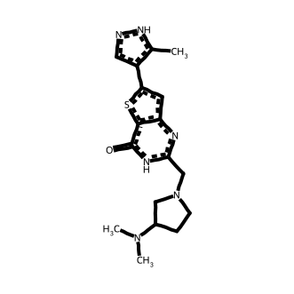 Cc1[nH]ncc1-c1cc2nc(CN3CCC(N(C)C)C3)[nH]c(=O)c2s1